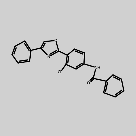 O=C(Nc1ccc(-c2nc(-c3ccccc3)co2)c(Cl)c1)c1ccccc1